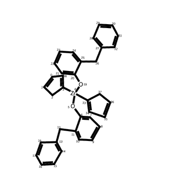 C1=CC[C]([Zr]([O]c2ccccc2Cc2ccccc2)([O]c2ccccc2Cc2ccccc2)[C]2=CC=CC2)=C1